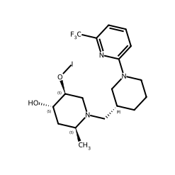 C[C@H]1C[C@H](O)[C@@H](OI)CN1C[C@H]1CCCN(c2cccc(C(F)(F)F)n2)C1